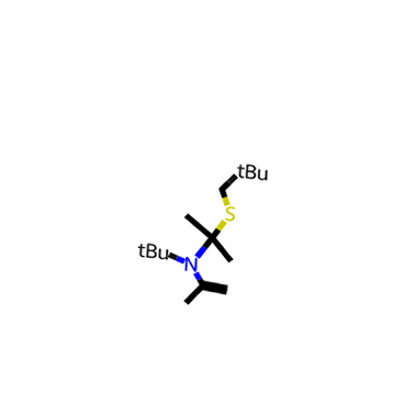 C=C(C)N(C(C)(C)C)C(C)(C)SCC(C)(C)C